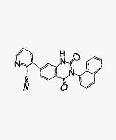 N#Cc1ncccc1-c1ccc2c(=O)n(-c3cccc4ccccc34)c(=O)[nH]c2c1